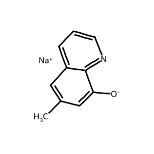 Cc1cc([O-])c2ncccc2c1.[Na+]